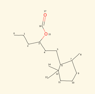 CCCC(CCC1C(C)CCCC1(C)C)OC=O